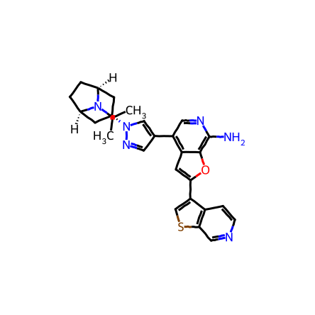 CC(C)N1[C@@H]2CC[C@H]1C[C@H](n1cc(-c3cnc(N)c4oc(-c5csc6cnccc56)cc34)cn1)C2